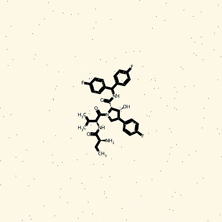 CC[C@H](N)C(=O)N[C@H](C(=O)N1CC(c2ccc(F)cc2)[C@@H](O)[C@H]1C(=O)NC(c1ccc(F)cc1)c1ccc(F)cc1)C(C)C